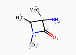 CO[C@]1(N)C(=O)N(S(=O)(=O)O)C1C